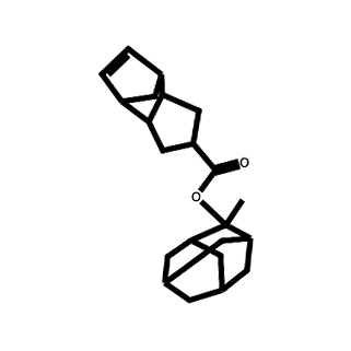 CC1(OC(=O)C2CC3C4C=CC(C4)C3C2)C2CC3CC(C2)CC1C3